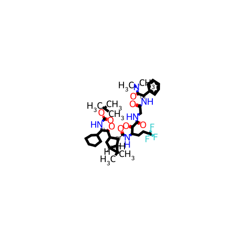 CN(C)C(=O)[C@@H](NC(=O)CNC(=O)C(=O)C(CCC(F)(F)F)NC(=O)[C@H]1C(C(=O)[C@@H](NC(=O)OC(C)(C)C)C2CCCCC2)C[C@H]2[C@@H]1C2(C)C)c1ccccc1